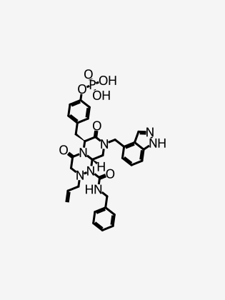 C=CCN1CC(=O)N2[C@@H](Cc3ccc(OP(=O)(O)O)cc3)C(=O)N(Cc3cccc4[nH]ncc34)C[C@@H]2N1C(=O)NCc1ccccc1